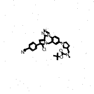 CN(CC1CCN(c2ccc3c(c2)Cn2c(cc(-c4ccc(C#N)cc4)c2Cl)-c2nncn2-3)C1)C(=O)OC(C)(C)C